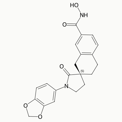 O=C(NO)c1ccc2c(c1)C[C@@]1(CC2)CCN(c2ccc3c(c2)OCO3)C1=O